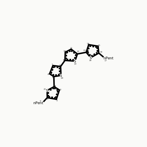 CCCCCc1ccc(-c2ccc(-c3ccc(-c4ccc(CCCCC)s4)s3)s2)s1